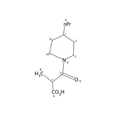 [CH2]CCC1CCN(C(=O)C(C)C(=O)O)CC1